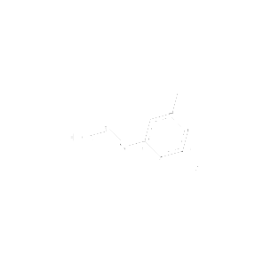 Cc1cc(C)cc(N=CC=O)c1